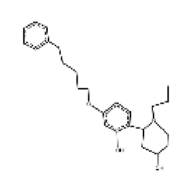 CCCN1CCC(O)CC1c1ccc(OCCCCCc2ccccc2)cc1O